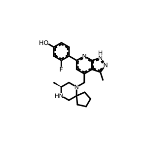 Cc1n[nH]c2nc(-c3ccc(O)cc3F)cc(CN3C[C@H](C)NCC34CCCC4)c12